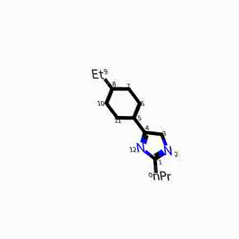 CCCC1=NCC(C2CCC(CC)CC2)=N1